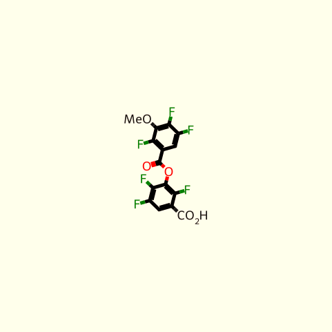 COc1c(F)c(F)cc(C(=O)Oc2c(F)c(F)cc(C(=O)O)c2F)c1F